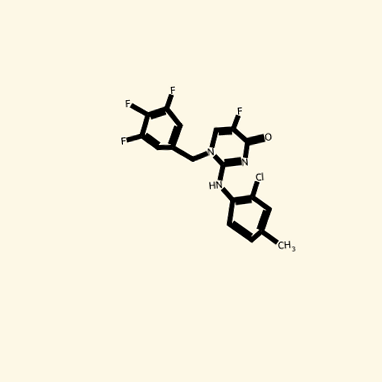 Cc1ccc(Nc2nc(=O)c(F)cn2Cc2cc(F)c(F)c(F)c2)c(Cl)c1